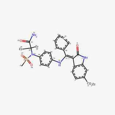 CCOC(=O)c1ccc2c(c1)NC(=O)/C2=C(/Nc1ccc(N(C(CC)(CC)C(N)=O)S(C)(=O)=O)cc1)c1ccccc1